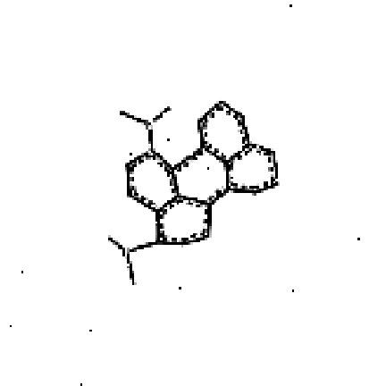 CN(C)c1ccc2c3cccc4cccc(c5c(N(C)C)ccc1c25)c43